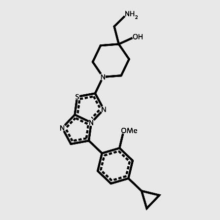 COc1cc(C2CC2)ccc1-c1cnc2sc(N3CCC(O)(CN)CC3)nn12